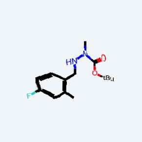 Cc1cc(F)ccc1CNN(C)C(=O)OC(C)(C)C